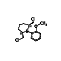 COc1ccccc1N1[C@H](CCl)CCC[C@@H]1CCl